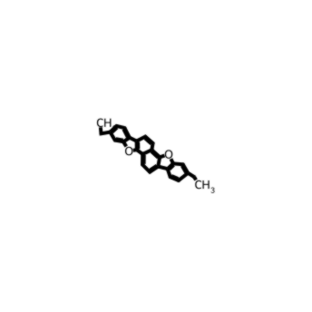 CCc1ccc2c(c1)oc1c2ccc2c1ccc1c3ccc(CC)cc3oc12